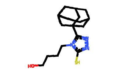 OCCCCn1c(S)nnc1C12CC3CC(CC(C3)C1)C2